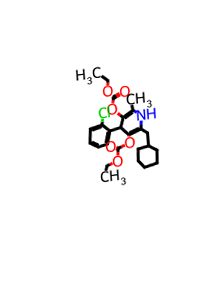 CCOC(=O)OC1=C(C)NC(CC2CCCCC2)=C(OC(=O)OCC)C1c1ccccc1Cl